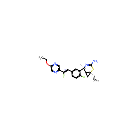 COC[C@]12CC1[C@@](C)(c1cc(/C=C(\F)c3cnc(OCC(F)(F)F)cn3)ccc1F)N=C(N)S2